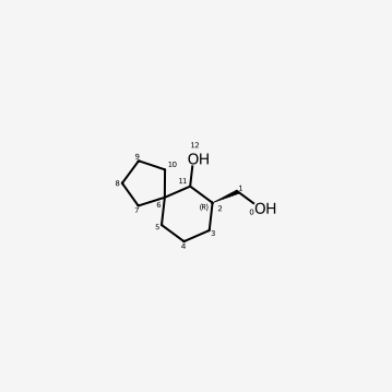 OC[C@H]1CCCC2(CCCC2)C1O